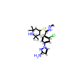 C=N/N=C(\SC1CC(C)(C)NC(C)(C)C1)c1ccc(-n2ccc(N)n2)cc1Cl